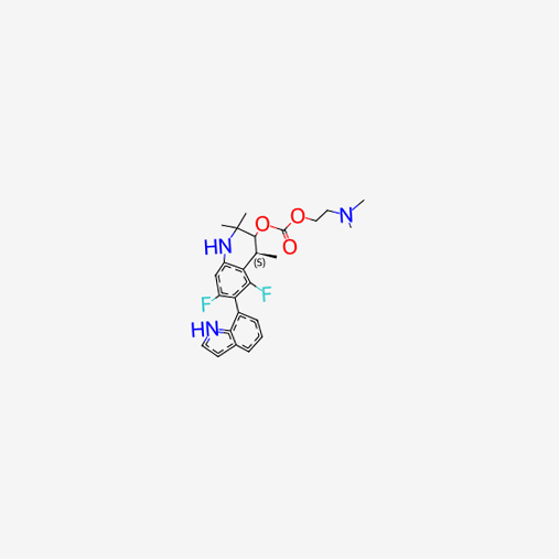 C[C@H]1c2c(cc(F)c(-c3cccc4cc[nH]c34)c2F)NC(C)(C)C1OC(=O)OCCN(C)C